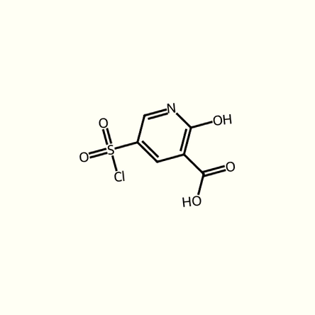 O=C(O)c1cc(S(=O)(=O)Cl)cnc1O